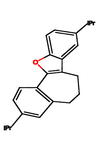 CC(C)c1ccc2c(c1)CCCc1c-2oc2ccc(C(C)C)cc12